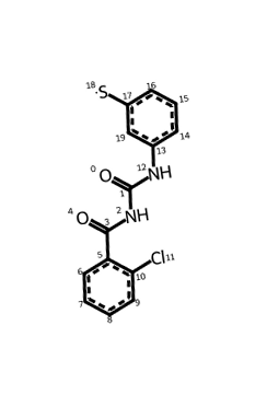 O=C(NC(=O)c1ccccc1Cl)Nc1cccc([S])c1